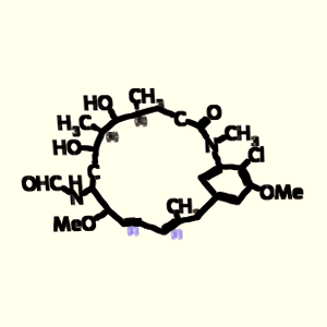 COc1cc2cc(c1Cl)N(C)C(=O)CC[C@@H](C)C(O)[C@H](C)C(O)CC(NC=O)C(OC)/C=C/C=C(\C)C2